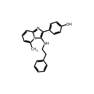 Cc1cccc2nc(-c3ccc(O)cc3)c(NCCc3ccccc3)n12